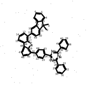 CC1(C)c2ccccc2-c2cc(-c3cccc4c3sc3c(-c5ccc(-c6nc(-c7ccccc7)nc(-c7ccccc7)n6)cc5)cccc34)ccc21